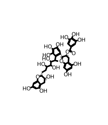 CC(c1c([C@H]2Oc3cc(O)cc(O)c3C[C@H]2OC(=O)c2cc(O)c(O)c(O)c2)cc(O)c(O)c1O)C(O)C(O)C(O)CC[C@H]1Oc2cc(O)cc(O)c2C[C@H]1O